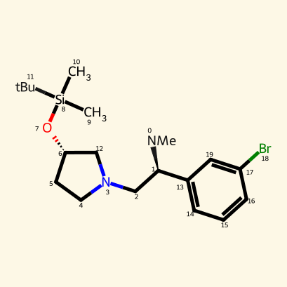 CN[C@H](CN1CC[C@H](O[Si](C)(C)C(C)(C)C)C1)c1cccc(Br)c1